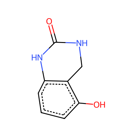 O=C1NCc2c(O)cccc2N1